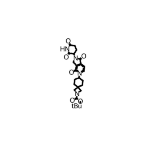 CC(C)(C)OC(=O)N1CC2(CCC(n3ccc4c(c3=O)CN(C3CCC(=O)NC3=O)C4=O)CC2)C1